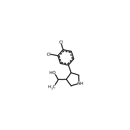 CC(O)C1CNCC1c1ccc(Cl)c(Cl)c1